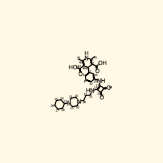 CC1=C(C(=O)O)C(c2cccc(Nc3c(NCCCN4CCN(C5CCCCC5)CC4)c(=O)c3=O)c2)C(C(=O)O)=C(C)N1